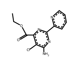 CCOC(=O)c1nc(-c2ccccn2)nc(N)c1Cl